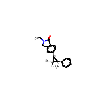 CC[C@@]1(C(=O)O)[C@@H](c2ccccc2)[C@@H]1c1ccc2c(c1)CN(CC(F)(F)F)C2=O